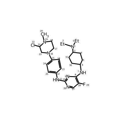 CCN(CC)C1CCC(Nc2nc(Nc3ccc(N4CCN(C)C(Cl)C4)cc3)ncc2F)CC1